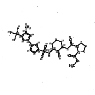 COC(=O)C1CCCN1C(=O)CN1CCC[C@H](NS(=O)(=O)c2ccc(-c3cc(C(F)(F)F)n(C)n3)s2)C1=O